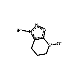 CC(C)n1nnc2c1CCC[S+]2[O-]